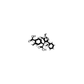 CC[C@](C(=O)O)(c1ccc(C(=O)O)c(C)c1)c1c(-c2ccccn2)nn(C)c1Cl